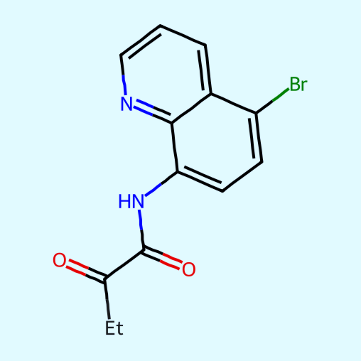 CCC(=O)C(=O)Nc1ccc(Br)c2cccnc12